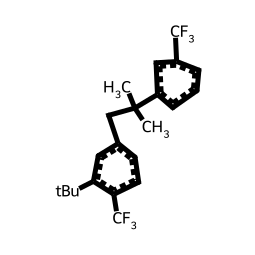 CC(C)(C)c1cc(CC(C)(C)c2cccc(C(F)(F)F)c2)ccc1C(F)(F)F